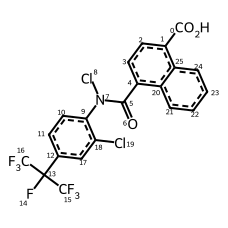 O=C(O)c1ccc(C(=O)N(Cl)c2ccc(C(F)(C(F)(F)F)C(F)(F)F)cc2Cl)c2ccccc12